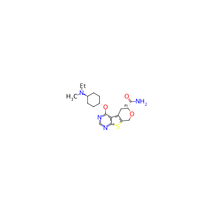 CCN(C)[C@H]1CC[C@H](Oc2ncnc3sc4c(c23)C[C@H](C(N)=O)OC4)CC1